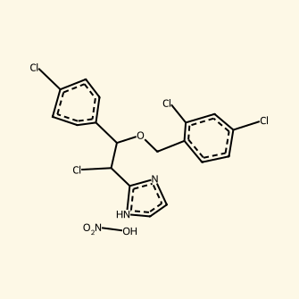 Clc1ccc(C(OCc2ccc(Cl)cc2Cl)C(Cl)c2ncc[nH]2)cc1.O=[N+]([O-])O